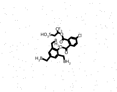 BCc1cc(CB)c(OC(=O)c2ccc(Cl)cc2C(=O)OC(CS(=O)(=O)O)C(F)(F)F)c(CB)c1